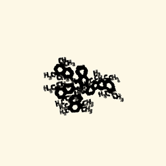 CC1(C)CCC(C)(C)c2cc(Nc3ccc4c(c3-c3cc5ccccc5c5c3Bc3cc6c(cc3N5c3ccc5c(c3)C(C)(C)CCC5(C)C)C(C)(C)CCC6(C)C)C(C)(C)c3cc5c(cc3-4)C(C)(C)CCC5(C)C)ccc21